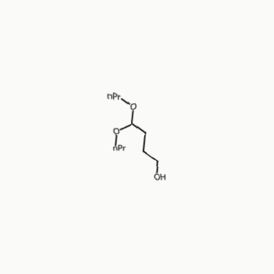 CCCOC(CCCO)OCCC